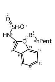 CCCCCBr.O=[SH](=O)Nc1cc2ccccc2o1